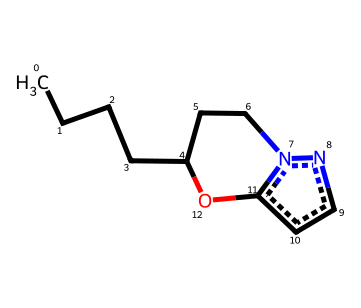 CCCCC1CCn2nccc2O1